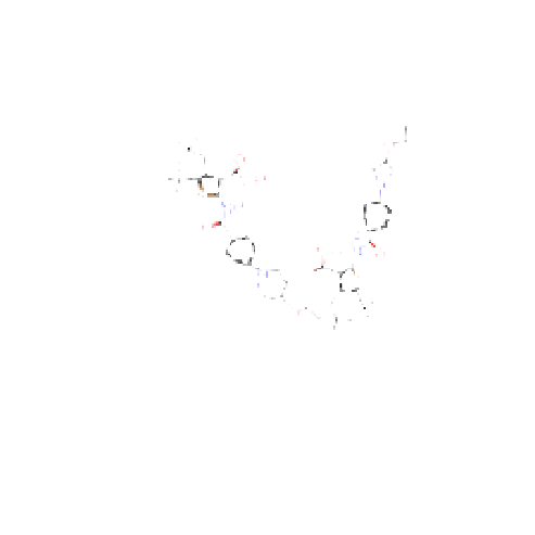 CCOC1CN(c2ccc(C(=O)Nc3sc4c(c3C(=O)O)CC(C)(CCOC3CCN(c5ccc(C(=O)Nc6sc7c(c6C(=O)O)CC(C)(C)CC7(C)C)cc5)CC3)CC4(C)C)cc2)C1